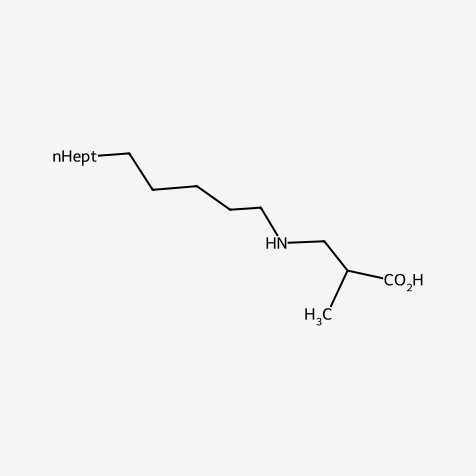 CCCCCCCCCCCCNCC(C)C(=O)O